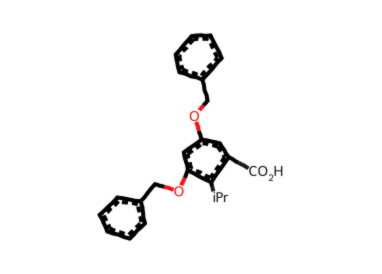 CC(C)c1c(OCc2ccccc2)cc(OCc2ccccc2)cc1C(=O)O